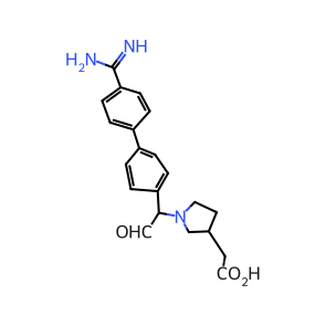 N=C(N)c1ccc(-c2ccc(C(C=O)N3CCC(CC(=O)O)C3)cc2)cc1